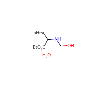 CCCCCCC(NCO)C(=O)OCC.O